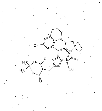 CC(C)(C)OC(=O)N1CC(N2CCCc3cc(Cl)cc(-c4ccnc5cc(CC6C(=O)OC(C)(C)OC6=O)sc45)c32)CC12CCC2